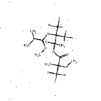 CCC(C)(C(=O)OC(C)(C)C(OC(OC)C(C)C)(C(F)(F)F)C(F)(F)F)C(F)(F)F